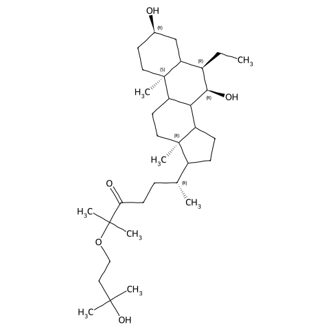 CC[C@@H]1C2C[C@H](O)CC[C@]2(C)C2CC[C@@]3(C)C(CCC3[C@H](C)CCC(=O)C(C)(C)OCCC(C)(C)O)C2[C@@H]1O